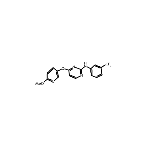 COc1ccc(Oc2ccnc(Nc3cccc(C(F)(F)F)c3)n2)cn1